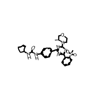 C[C@H]1COCCN1c1nc(-c2ccc(NC(=O)NC3CCCC3)cc2)nc(-c2ccccc2S(C)(=O)=O)n1